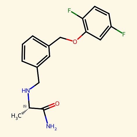 C[C@H](NCc1cccc(COc2cc(F)ccc2F)c1)C(N)=O